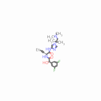 CCC#C[C@H](NC(=O)[C@H](O)c1cc(F)cc(F)c1)C(=O)Nc1cn(C(C)(C)CN(C)C)cn1